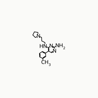 Cc1cccc(-c2cnc(N)nc2NCCCN2CCCC2)c1